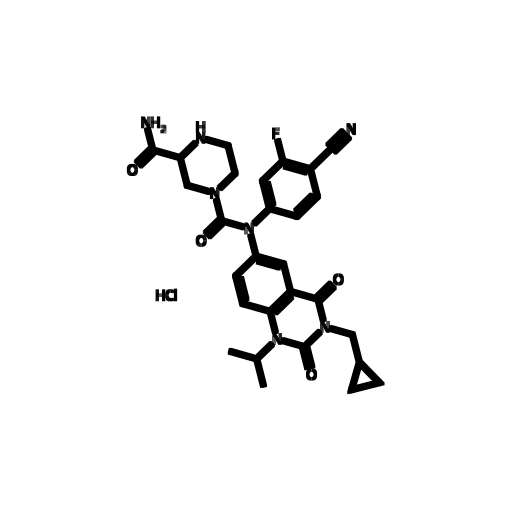 CC(C)n1c(=O)n(CC2CC2)c(=O)c2cc(N(C(=O)N3CCNC(C(N)=O)C3)c3ccc(C#N)c(F)c3)ccc21.Cl